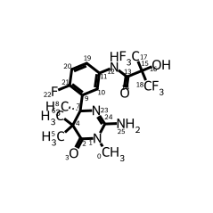 CN1C(=O)C(C)(C)[C@@](C)(c2cc(NC(=O)C(O)(C(F)(F)F)C(F)(F)F)ccc2F)N=C1N